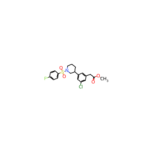 COC(=O)Cc1cc(Cl)cc(C2CCCN(S(=O)(=O)c3ccc(F)cc3)C2)c1